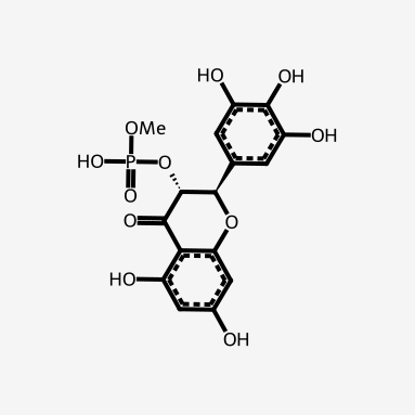 COP(=O)(O)O[C@H]1C(=O)c2c(O)cc(O)cc2O[C@@H]1c1cc(O)c(O)c(O)c1